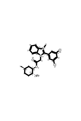 CC(C)[C@@H]1CC[C@@H](C)C[C@H]1OC(=O)Cn1c(-c2cc(Cl)cc(Cl)c2)[n+](C)c2ccccc21